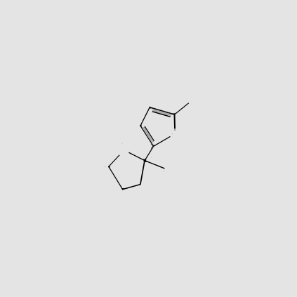 Cc1ccc(C2(C)CCCO2)o1